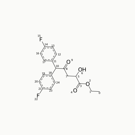 CCOC(=O)C(O)CC(=O)C(c1ccc(F)cc1)c1ccc(F)cc1